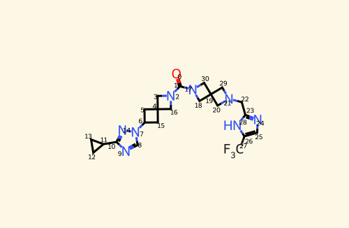 O=C(N1CC2(CC(n3cnc(C4CC4)n3)C2)C1)N1CC2(CN(Cc3ncc(C(F)(F)F)[nH]3)C2)C1